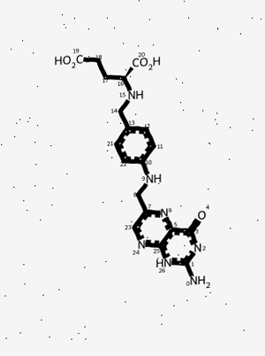 Nc1nc(=O)c2nc(CNc3ccc(CN[C@@H](CCC(=O)O)C(=O)O)cc3)cnc2[nH]1